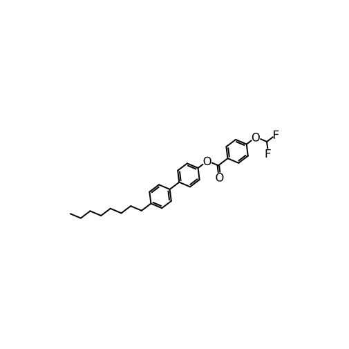 CCCCCCCCc1ccc(-c2ccc(OC(=O)c3ccc(OC(F)F)cc3)cc2)cc1